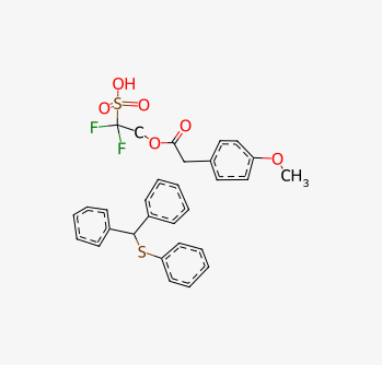 COc1ccc(CC(=O)OCC(F)(F)S(=O)(=O)O)cc1.c1ccc(SC(c2ccccc2)c2ccccc2)cc1